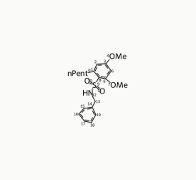 CCCCCc1cc(OC)cc(OC)c1S(=O)(=O)NCc1ccccc1